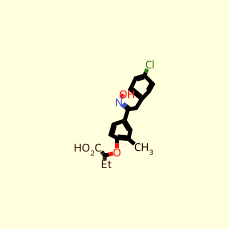 CCC(Oc1ccc(C(Cc2ccc(Cl)cc2)=NO)cc1C)C(=O)O